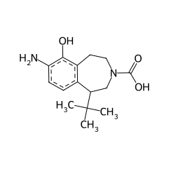 CC(C)(C)C1CN(C(=O)O)CCc2c1ccc(N)c2O